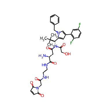 CC(C)(C)[C@H](c1cc(-c2cc(F)ccc2F)cn1Cc1ccccc1)N(C(=O)CO)C(=O)C[C@H](N)C(=O)NCCNC(=O)CN1C(=O)C=CC1=O